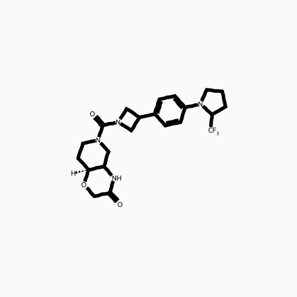 O=C1CO[C@H]2CCN(C(=O)N3CC(c4ccc(N5CCCC5C(F)(F)F)cc4)C3)CC2N1